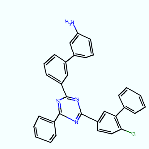 Nc1cccc(-c2cccc(-c3nc(-c4ccccc4)nc(-c4ccc(Cl)c(-c5ccccc5)c4)n3)c2)c1